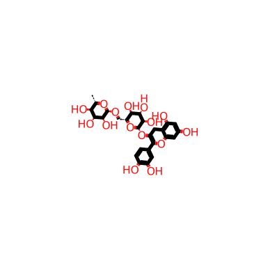 C[C@@H]1O[C@@H](OC[C@H]2O[C@@H](OC3=C(c4ccc(O)c(O)c4)Oc4cc(O)cc(O)c4C3)[C@H](O)[C@@H](O)[C@@H]2O)[C@H](O)[C@H](O)[C@H]1O